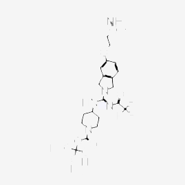 CC(C)(C)OC(=O)N1CCC(N/C(=N/C(=O)C(F)(F)F)N2Cc3ccc(OCCON)cc3C2)CC1